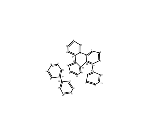 c1ccc(-c2cccc3c4ccccc4c4ccccc4c23)cc1.c1ccc(-c2ccccc2)cc1